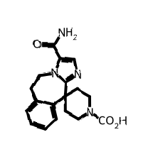 NC(=O)c1cnc2n1CCc1ccccc1C21CCN(C(=O)O)CC1